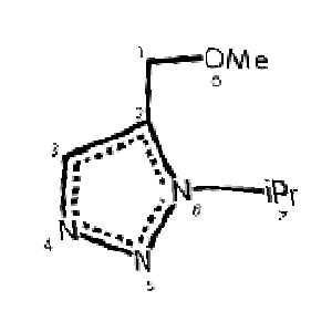 COCc1cnnn1C(C)C